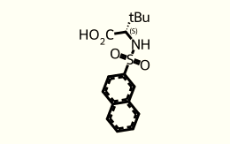 CC(C)(C)[C@H](NS(=O)(=O)c1ccc2ccccc2c1)C(=O)O